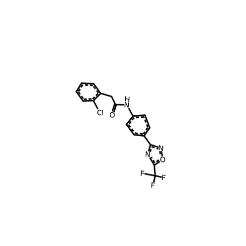 O=C(Cc1ccccc1Cl)Nc1ccc(-c2noc(C(F)(F)F)n2)cc1